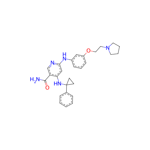 NC(=O)c1cnc(Nc2cccc(OCCN3CCCC3)c2)cc1NC1(c2ccccc2)CC1